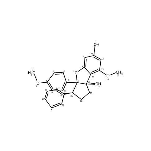 COc1ccc([C@@]23Oc4cc(O)cc(OC)c4[C@]2(O)CC[C@H]3c2ccccc2)cc1